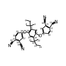 CCC(C)(C)c1cc(Oc2ccc(C#N)c(C#N)c2)c(C(C)(C)CC)cc1Oc1ccc(C#N)c(C#N)c1